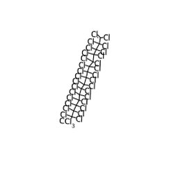 Cl[C](Cl)C(Cl)(Cl)C(Cl)(Cl)C(Cl)(Cl)C(Cl)(Cl)C(Cl)(Cl)C(Cl)(Cl)C(Cl)(Cl)C(Cl)(Cl)C(Cl)(Cl)C(Cl)(Cl)C(Cl)(Cl)C(Cl)(Cl)C(Cl)(Cl)C(Cl)(Cl)C(Cl)(Cl)Cl